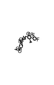 CCOC(=O)C1(C)CCN(C2=NOC3(C2)CN(Cc2cc(C4CC4)c(-c4ccc(F)cc4F)c(F)c2OC)C3)CC1